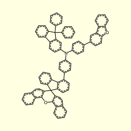 c1ccc(C2(c3ccccc3)c3ccccc3-c3ccc(N(c4ccc(-c5ccc6oc7ccccc7c6c5)cc4)c4ccc(-c5cccc6c5-c5ccccc5C65c6ccc7ccccc7c6Oc6c5ccc5ccccc65)cc4)cc32)cc1